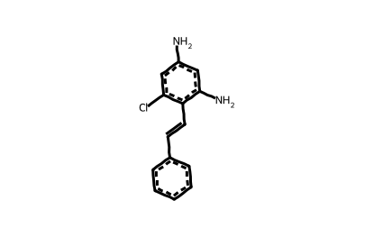 Nc1cc(N)c(C=Cc2ccccc2)c(Cl)c1